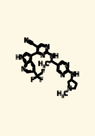 C[C@@H](Nc1ncc(C#N)c(-c2c[nH]c3ncc(C(F)(F)F)cc23)n1)c1cnc(NC2CCN(C)C2)nc1